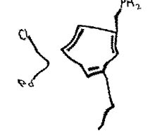 CCc1cccc(P)c1.Cl[CH2][Pd]